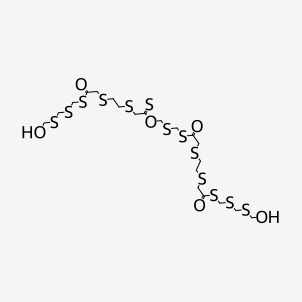 O=C(CSCCSCC(=O)SCSCSCO)SCSCOC(=S)CSCCSCC(=O)SCSCSCO